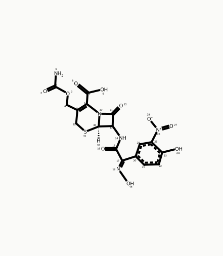 NC(=O)OCC1=C(C(=O)O)N2C(=O)C(NC(=O)/C(=N/O)c3ccc(O)c([N+](=O)[O-])c3)[C@H]2SC1